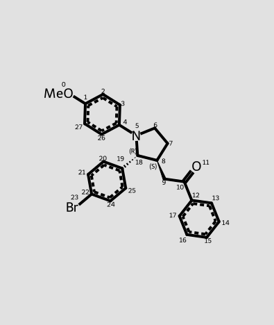 COc1ccc(N2CC[C@@H](CC(=O)c3ccccc3)[C@@H]2c2ccc(Br)cc2)cc1